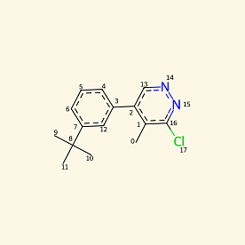 Cc1c(-c2cccc(C(C)(C)C)c2)cnnc1Cl